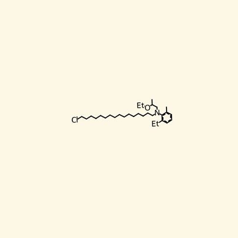 CCOC(C)CN(CCCCCCCCCCCCCCCCCl)c1c(C)cccc1CC